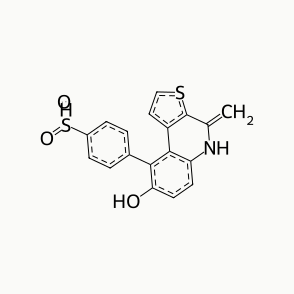 C=C1Nc2ccc(O)c(-c3ccc([SH](=O)=O)cc3)c2-c2ccsc21